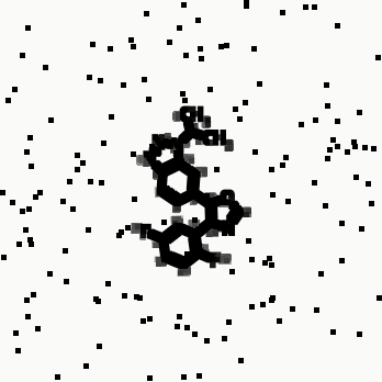 CC(C)n1nnc2ccc(-c3ocnc3-c3cc(F)ccc3F)cc21